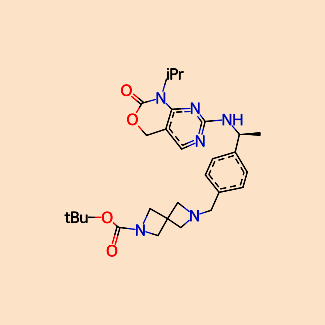 CC(C)N1C(=O)OCc2cnc(N[C@@H](C)c3ccc(CN4CC5(C4)CN(C(=O)OC(C)(C)C)C5)cc3)nc21